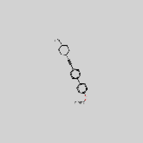 CCCCCOc1ccc(-c2ccc(C#C[C@H]3CC[C@H](CCC)CC3)cc2)cc1